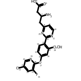 Cl.NC(CC(=O)O)Cc1ccnc(-c2ccc(Oc3ncc(Cl)cc3F)cc2Cl)n1